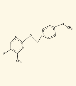 COc1ccc(COc2ncc(F)c(C)n2)cc1